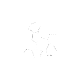 CCC(c1ccccc1)C1c2ccccc2-c2[nH]c(=O)c3nccn3c21